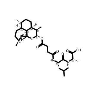 CC(C)C[C@H](NC(=O)CCC(=O)O[C@@H]1O[C@@H]2O[C@@]3(C)CC[C@H]4[C@H](C)CC[C@@H]([C@H]1C)[C@@]24OO3)C(=O)N[C@@H](C)C(=O)O